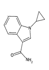 NC(=O)c1cn(C2CC2)c2c[c]ccc12